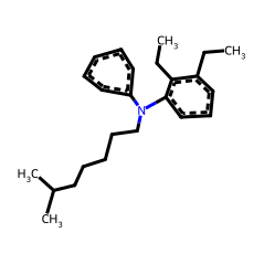 CCc1cccc(N(CCCCCC(C)C)c2ccccc2)c1CC